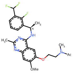 COc1cc2nc(C)nc(N[C@H](C)c3cccc(C(F)F)c3F)c2cc1OCCN(C)C(C)=O